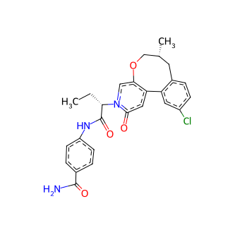 CC[C@@H](C(=O)Nc1ccc(C(N)=O)cc1)n1cc2c(cc1=O)-c1cc(Cl)ccc1C[C@@H](C)CO2